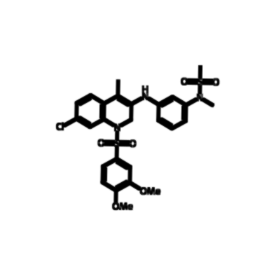 COc1ccc(S(=O)(=O)N2CC(Nc3cccc(N(C)S(C)(=O)=O)c3)=C(C)c3ccc(Cl)cc32)cc1OC